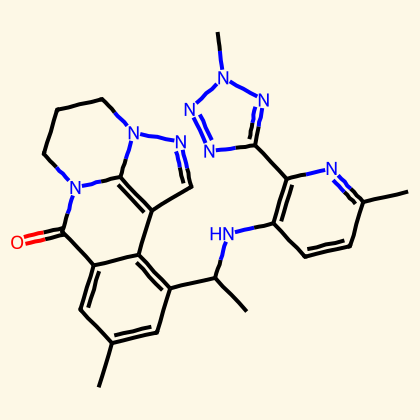 Cc1cc(C(C)Nc2ccc(C)nc2-c2nnn(C)n2)c2c(c1)c(=O)n1c3c2cnn3CCC1